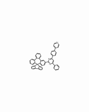 c1ccc(-c2cc(-c3ccc(-c4ccncc4)cc3)nc(-c3ccc4c(c3)-c3ccccc3-c3ccccc3C43c4ccccc4-c4ccccc43)n2)cc1